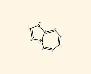 C1=CC=C2SC=CN2C=C1